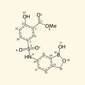 COC(=O)c1cc(S(=O)(=O)Nc2ccc3c(c2)B(O)OC3)ccc1O